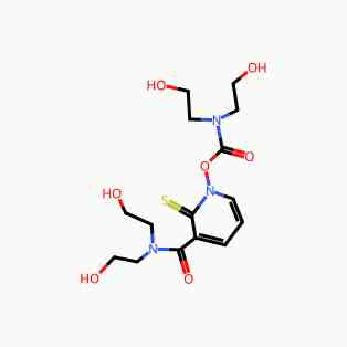 O=C(On1cccc(C(=O)N(CCO)CCO)c1=S)N(CCO)CCO